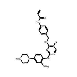 C=CC(=O)Nc1ccc(CNc2nc(Nc3ccc(N4CCN(C)CC4)cc3OC)ncc2Br)cc1